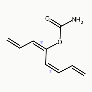 C=C/C=C\C(=C/C=C)OC(N)=O